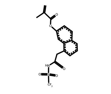 C=C(C)C(=O)Oc1ccc2cccc(CC(=O)NS(=O)(=O)C(F)(F)F)c2c1